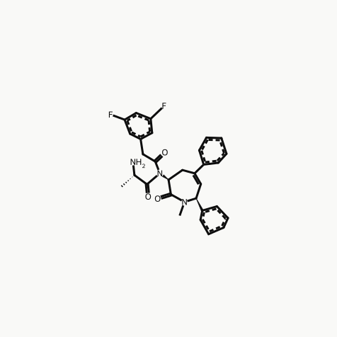 C[C@H](N)C(=O)N(C(=O)Cc1cc(F)cc(F)c1)[C@H]1CC(c2ccccc2)=C[C@@H](c2ccccc2)N(C)C1=O